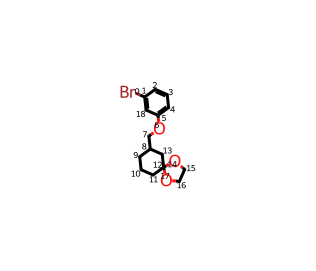 Brc1cccc(OCC2CCCC3(C2)OCCO3)c1